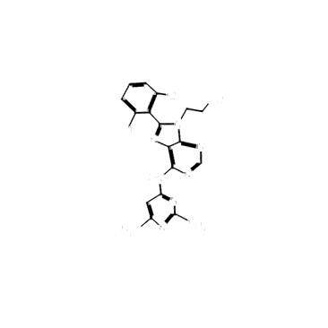 Cc1cc(Nc2ncnc3c2nc(-c2c(Cl)cccc2Cl)n3CCO)nc(C)n1